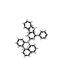 c1ccc(-c2nc(N3c4ccccc4-c4cccc5cccc3c45)nc3c2sc2ccccc23)cc1